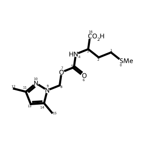 CSCCC(NC(=O)OCn1nc(C)cc1C)C(=O)O